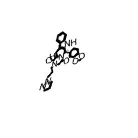 O=C1[C@H]2Cc3c([nH]c4ccccc34)[C@@H](c3ccc4c(c3)OCO4)N2C(=O)CN1CCCn1cccn1